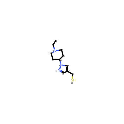 CCN1CCC(n2cc(CS)cn2)CC1